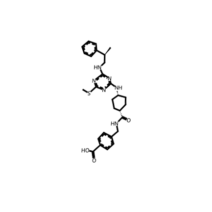 CSc1nc(NC[C@H](C)c2ccccc2)nc(N[C@H]2CC[C@@H](C(=O)NCc3ccc(C(=O)O)cc3)CC2)n1